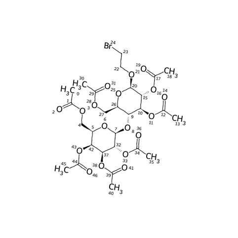 CC(=O)OC[C@H]1O[C@@H](O[C@H]2[C@H](OC(C)=O)[C@@H](OC(C)=O)[C@H](OCCBr)O[C@@H]2COC(C)=O)[C@H](OC(C)=O)[C@@H](OC(C)=O)[C@H]1OC(C)=O